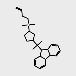 C=CCC[Si](C)(C)C1CCC(C(C)(C)C2C3C=CC=CC3C3C=CC=CC32)C1